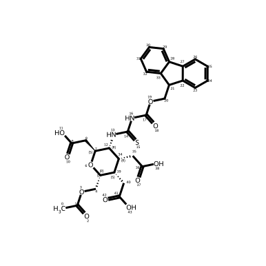 CC(=O)OC[C@@H]1O[C@@H](CC(=O)O)[C@H](NC(=S)NC(=O)OCC2c3ccccc3-c3ccccc32)[C@H](CC(=O)O)[C@@H]1CC(=O)O